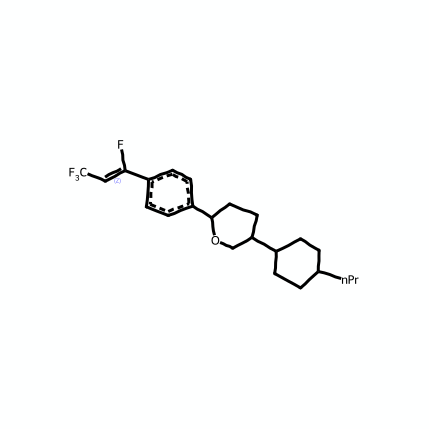 CCCC1CCC(C2CCC(c3ccc(/C(F)=C/C(F)(F)F)cc3)OC2)CC1